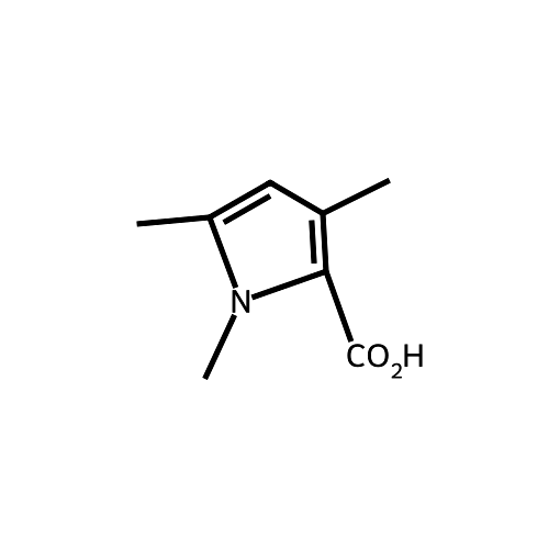 Cc1cc(C)n(C)c1C(=O)O